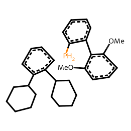 COc1cccc(OC)c1-c1ccccc1P.c1ccc(C2CCCCC2)c(C2CCCCC2)c1